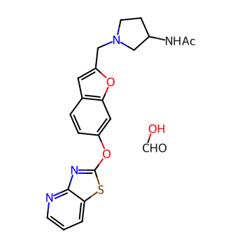 CC(=O)NC1CCN(Cc2cc3ccc(Oc4nc5ncccc5s4)cc3o2)C1.O=CO